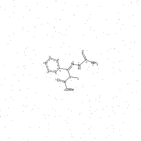 COC(=O)C(C)C(=NNC(N)=S)c1ccccc1